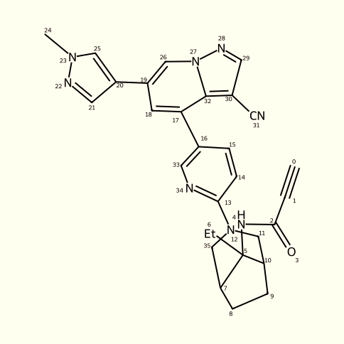 C#CC(=O)NC1(CC)C2CCC1CN(c1ccc(-c3cc(-c4cnn(C)c4)cn4ncc(C#N)c34)cn1)C2